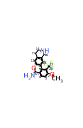 COc1ccc(C(N)=O)c(-c2ccc3c(c2)CNCC3)c1C(F)(F)F